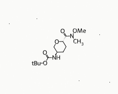 CON(C)C(=O)[C@@H]1CC[C@@H](NC(=O)OC(C)(C)C)CO1